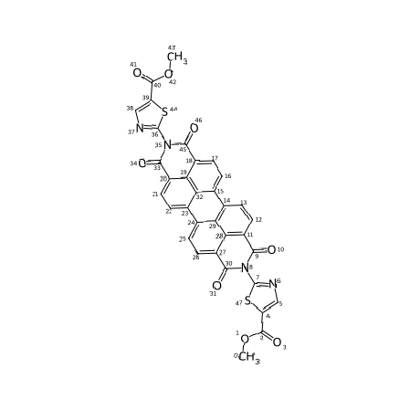 COC(=O)c1cnc(N2C(=O)c3ccc4c5ccc6c7c(ccc(c8ccc(c3c48)C2=O)c75)C(=O)N(c2ncc(C(=O)OC)s2)C6=O)s1